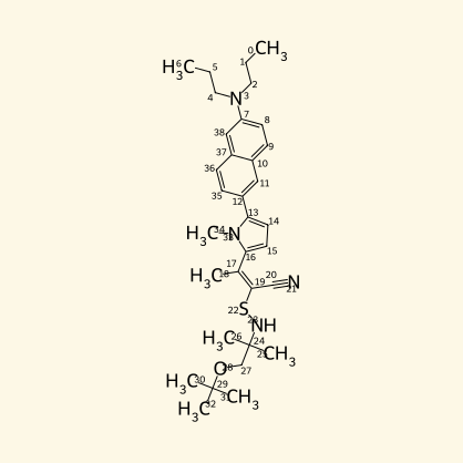 CCCN(CCC)c1ccc2cc(-c3ccc(/C(C)=C(\C#N)SNC(C)(C)COC(C)(C)C)n3C)ccc2c1